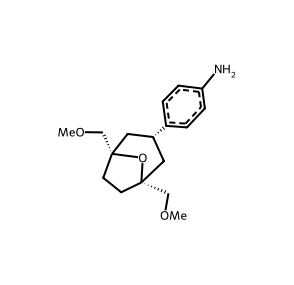 COC[C@@]12CC[C@@](COC)(C[C@H](c3ccc(N)cc3)C1)O2